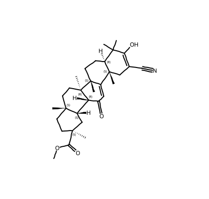 COC(=O)[C@@]1(C)CC[C@]2(C)CC[C@]3(C)[C@H](C(=O)C=C4[C@@]5(C)CC(C#N)=C(O)C(C)(C)[C@@H]5CC[C@]43C)[C@@H]2C1